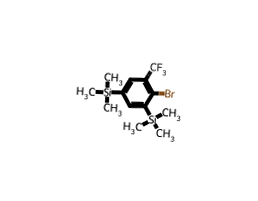 C[Si](C)(C)c1cc(C(F)(F)F)c(Br)c([Si](C)(C)C)c1